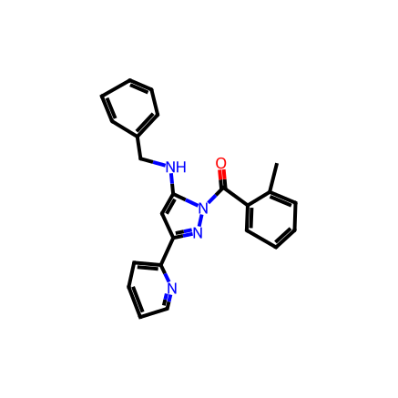 Cc1ccccc1C(=O)n1nc(-c2ccccn2)cc1NCc1ccccc1